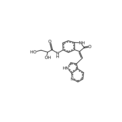 O=C1Nc2ccc(NC(=O)C(O)CO)cc2/C1=C\c1c[nH]c2ncccc12